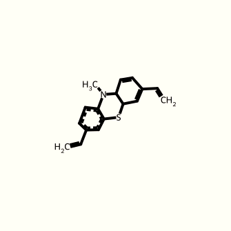 C=CC1=CC2Sc3cc(C=C)ccc3N(C)C2C=C1